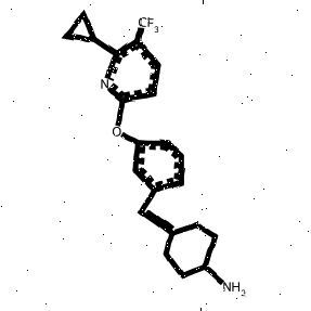 NC1CCC(=Cc2cccc(Oc3ccc(C(F)(F)F)c(C4CC4)n3)c2)CC1